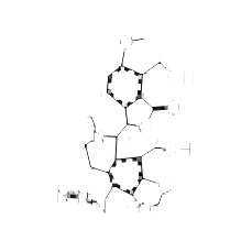 COc1ccc2c(c1CO)C(=O)OC2C1c2c(c(N=[N+]=[N-])c3c(c2CO)OCO3)CCN1C